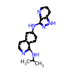 CC(C)Nc1nccc2cc(Nc3n[nH]c4cccnc34)ccc12